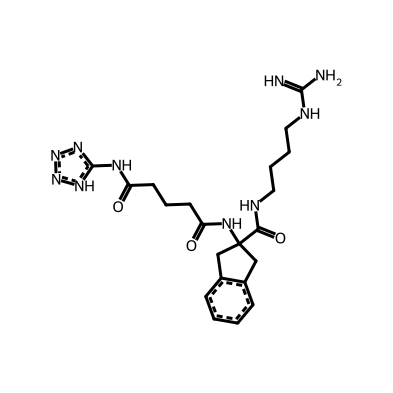 N=C(N)NCCCCNC(=O)C1(NC(=O)CCCC(=O)Nc2nnn[nH]2)Cc2ccccc2C1